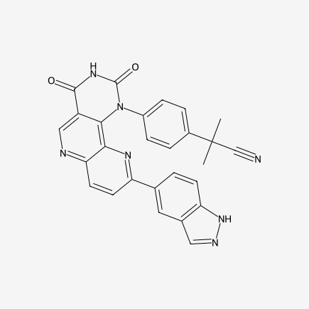 CC(C)(C#N)c1ccc(-n2c(=O)[nH]c(=O)c3cnc4ccc(-c5ccc6[nH]ncc6c5)nc4c32)cc1